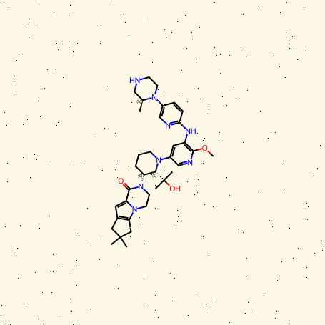 COc1ncc(N2CCC[C@@H](N3CCn4c(cc5c4CC(C)(C)C5)C3=O)[C@H]2C(C)(C)O)cc1Nc1ccc(N2CCNC[C@@H]2C)cn1